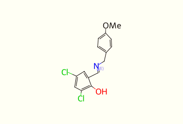 COc1ccc(C/N=C/c2cc(Cl)cc(Cl)c2O)cc1